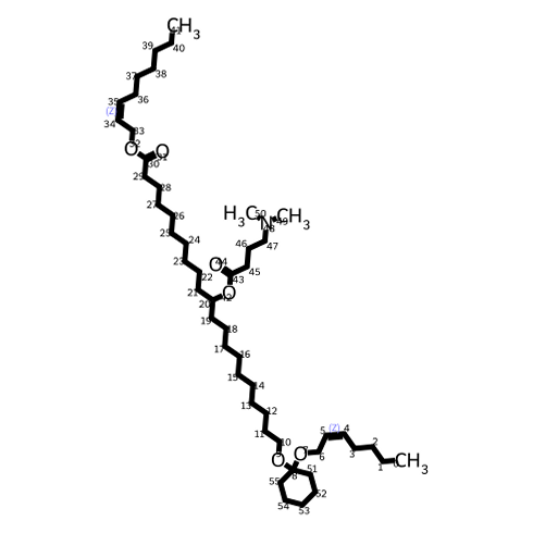 CCCC/C=C\COC1(OCCCCCCCCCCC(CCCCCCCCCC(=O)OC/C=C\CCCCCC)OC(=O)CCCN(C)C)CCCCC1